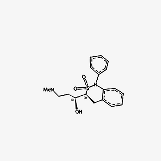 CNCC[C@H](O)[C@@H]1Cc2ccccc2N(c2ccccc2)S1(=O)=O